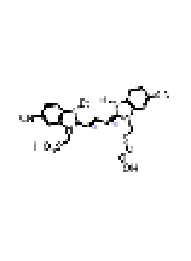 [C-]#[N+]c1ccc2c(c1)[n+](CS(=O)(=O)O)c(/C=C/C=C1\N(CC)c3ccc(C#N)cc3N1CSOOO)n2CC